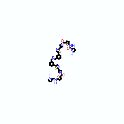 CN(Cc1cccc(-c2cnc(C3CN(C(=O)c4ccc(NCC5CCCN5)s4)C3)s2)c1)Cc1cccc(-c2cnc(C3CN(C(=O)c4ccc(NC(=O)[C@@H]5CCCN5)s4)C3)s2)c1